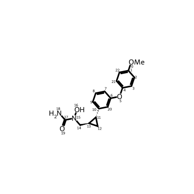 COc1ccc(Oc2cccc([C@@H]3C[C@H]3CN(O)C(N)=O)c2)cc1